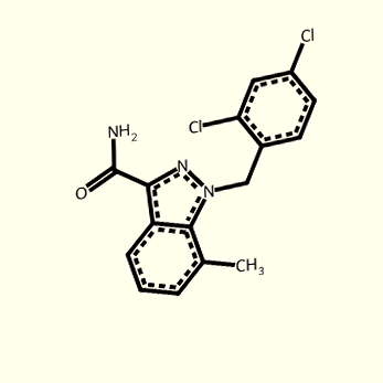 Cc1cccc2c(C(N)=O)nn(Cc3ccc(Cl)cc3Cl)c12